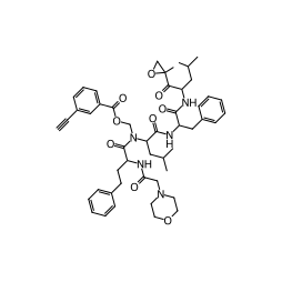 C#Cc1cccc(C(=O)OCN(C(=O)C(CCc2ccccc2)NC(=O)CN2CCOCC2)C(CC(C)C)C(=O)NC(Cc2ccccc2)C(=O)NC(CC(C)C)C(=O)C2(C)CO2)c1